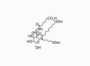 CCCCCCCCCCCCCCCCCC(=O)N(CCCCCCCCCCCCCC)[C@@H]1O[C@H](CO)[C@@H](O)[C@H](O)[C@H]1NC(=O)[C@H](C)NC(=O)CCCCC(=O)O